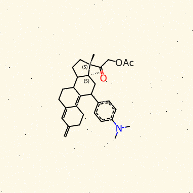 C=C1C=C2CCC3C(=C2CC1)C(c1ccc(N(C)C)cc1)C[C@@]1(C)C3CC[C@]1(C)C(=O)COC(C)=O